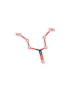 O=C(OOO)OOO